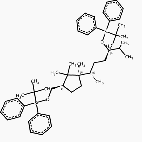 CC(C)[C@@H](CC[C@H](C)[C@@]1(C)CC[C@@H](CO[Si](c2ccccc2)(c2ccccc2)C(C)(C)C)C1(C)C)O[Si](c1ccccc1)(c1ccccc1)C(C)(C)C